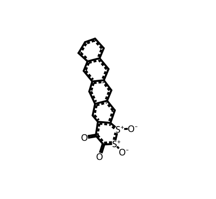 O=c1c(=O)[s+]([O-])[s+]([O-])c2cc3cc4cc5ccccc5cc4cc3cc12